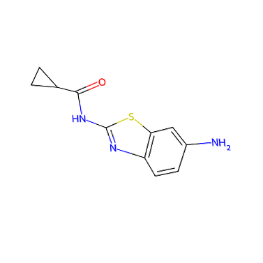 Nc1ccc2nc(NC(=O)C3CC3)sc2c1